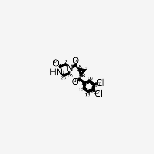 O=C1CN(C(=O)[C@H]2C[C@@H]2C(=O)c2ccc(Cl)c(Cl)c2)CCN1